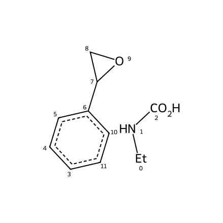 CCNC(=O)O.c1ccc(C2CO2)cc1